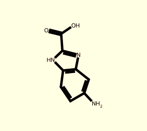 Nc1ccc2[nH]c(C(=O)O)nc2c1